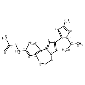 Cc1nc(-c2cn3c(n2)-c2cnc(NCC(=O)O)cc2OCC3)n(C(C)C)n1